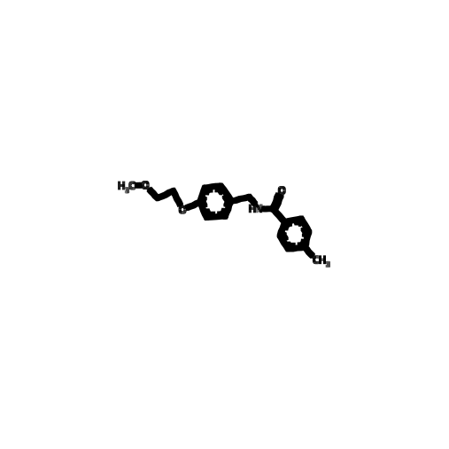 COCCOc1ccc(CNC(=O)c2ccc(C)cc2)cc1